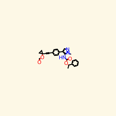 CC(OC(=O)Nc1c(-c2ccc(C#CC3(OC=O)CC3)cc2)cnn1C)c1ccccc1